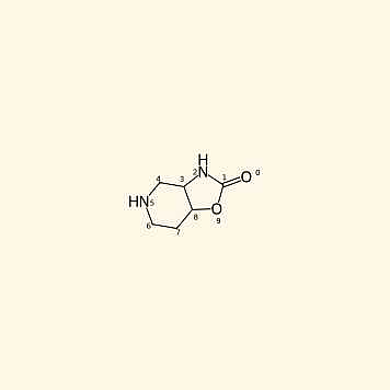 O=C1NC2CNCCC2O1